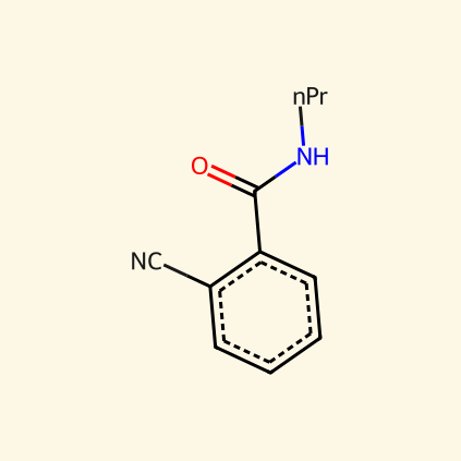 CCCNC(=O)c1ccccc1C#N